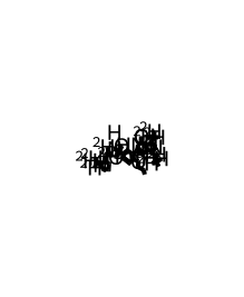 [2H]C([2H])(CC1CCCN1C([2H])([2H])[2H])NS(=O)(=O)c1ccc(OCCC)c(-c2nc3c(C([2H])([2H])C([2H])([2H])C)nn(C([2H])([2H])[2H])c3c(=O)[nH]2)c1